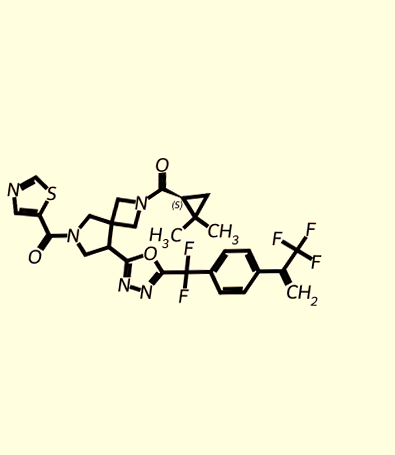 C=C(c1ccc(C(F)(F)c2nnc(C3CN(C(=O)c4cncs4)CC34CN(C(=O)[C@H]3CC3(C)C)C4)o2)cc1)C(F)(F)F